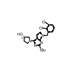 CC(C)(C)c1nc(N2CC[C@H](O)C2)c2ccn(Cc3cccc(Cl)c3Cl)c2n1